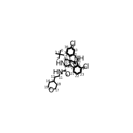 CC(C)(C)C[C@H]1N[C@@H](C(=O)NCCC2CCOCC2)[C@H](c2cccc(Cl)c2F)[C@@]12C(=O)Nc1cc(Cl)ccc12